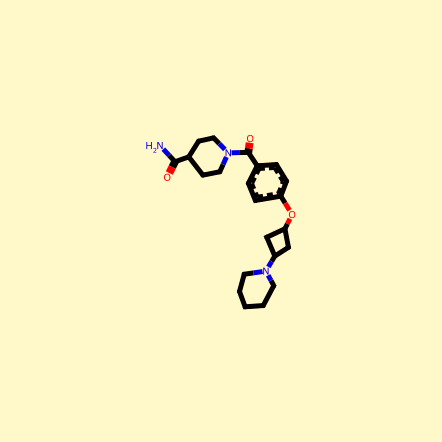 NC(=O)C1CCN(C(=O)c2ccc(OC3CC(N4CCCCC4)C3)cc2)CC1